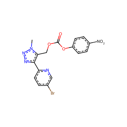 Cn1nnc(-c2ccc(Br)cn2)c1COC(=O)Oc1ccc([N+](=O)[O-])cc1